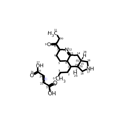 CCCC1C2CCC(C(=O)CC)N=C2C[C@@H]2CNC[C@@H]12.O=C(O)/C=C/C(=O)O